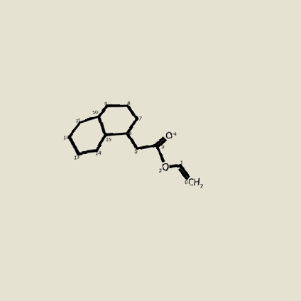 C=COC(=O)CC1CCCC2CCCCC21